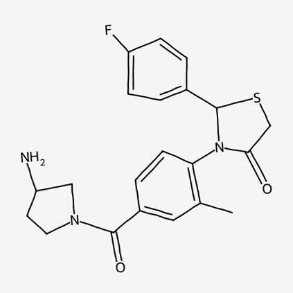 Cc1cc(C(=O)N2CCC(N)C2)ccc1N1C(=O)CSC1c1ccc(F)cc1